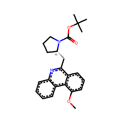 COc1cccc2c(C[C@@H]3CCCN3C(=O)OC(C)(C)C)nc3ccccc3c12